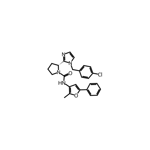 Cc1oc(-c2ccccc2)cc1NC(=O)N1CCC[C@@H]1c1nccn1Cc1ccc(Cl)cc1